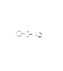 Nc1nc(C2CCCCC2(F)F)nc2n[nH]c(Oc3cc(C(F)(F)F)ccn3)c12